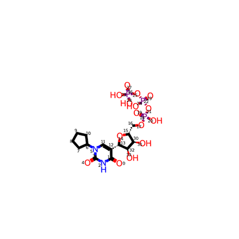 O=c1[nH]c(=O)n(C2CCCC2)cc1[C@@H]1O[C@H](COP(=O)(O)OP(=O)(O)OP(=O)(O)O)[C@@H](O)[C@H]1O